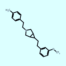 Cc1ccc(CCN2CC3C(C[CH]c4cccc(OC(F)(F)F)c4)C3C2)cc1